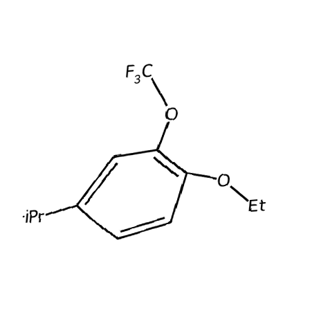 CCOc1ccc([C](C)C)cc1OC(F)(F)F